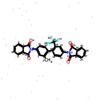 Cc1cc(N2C(=O)c3ccccc3C2=O)ccc1-c1ccc(N2C(=O)c3ccccc3C2=O)cc1C(F)(F)F